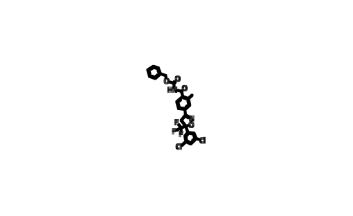 Cc1cc(C2=NOC(c3cc(Cl)cc(Cl)c3)(C(F)(F)F)C2)ccc1C(=O)NC(=O)OCc1ccccc1